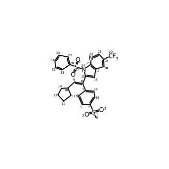 CS(=O)(=O)c1ccc(/C(=C\C2CCCC2)c2cc3cc(C(F)(F)F)cnc3n2S(=O)(=O)c2ccccc2)cc1